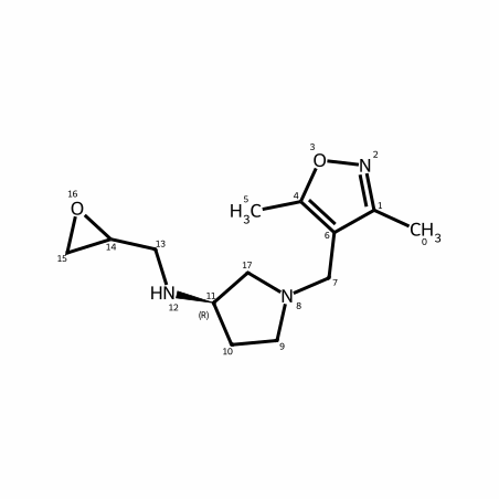 Cc1noc(C)c1CN1CC[C@@H](NCC2CO2)C1